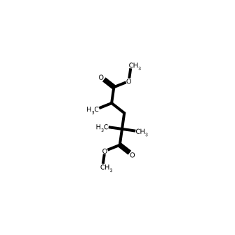 COC(=O)C(C)CC(C)(C)C(=O)OC